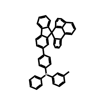 Cc1cccc(N(c2ccccc2)c2ccc(-c3ccc4c(c3)C3(c5ccccc5-4)c4ccccc4-c4cccc5cccc3c45)cc2)c1